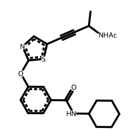 CC(=O)NC(C)C#Cc1cnc(Oc2cccc(C(=O)NC3CCCCC3)c2)s1